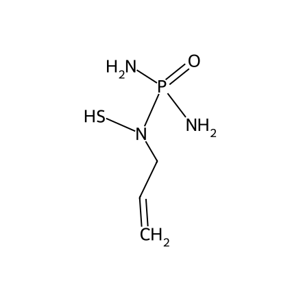 C=CCN(S)P(N)(N)=O